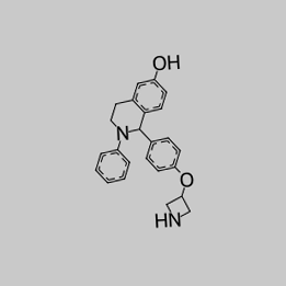 Oc1ccc2c(c1)CCN(c1ccccc1)C2c1ccc(OC2CNC2)cc1